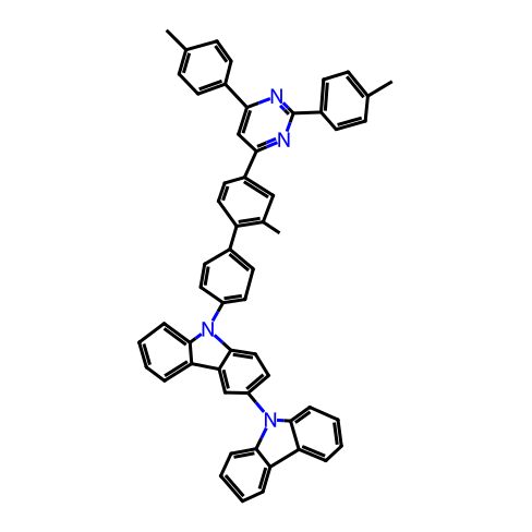 Cc1ccc(-c2cc(-c3ccc(-c4ccc(-n5c6ccccc6c6cc(-n7c8ccccc8c8ccccc87)ccc65)cc4)c(C)c3)nc(-c3ccc(C)cc3)n2)cc1